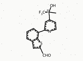 C[C@@](O)(c1ccnc(-c2cccc3cc(C=O)sc23)c1)C(F)(F)F